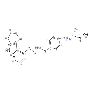 O=C(/C=C/c1ccc(CNCCc2cccc3[nH]c4c(c23)CCOC4)cc1)NO